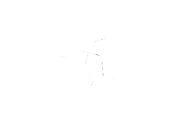 OCC(OCF)(OCF)OCF